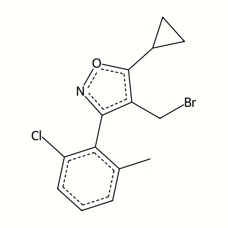 Cc1cccc(Cl)c1-c1noc(C2CC2)c1CBr